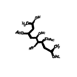 CCCC(C(CC(C)OC(C)=O)OC(C)=O)C(CC(CC(C)OC(C)=O)OC(C)=O)OC(C)=O